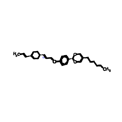 CCCCCC[C@H]1CO[C@H](c2ccc(OC/C=C/[C@H]3CC[C@H](CCC)CC3)cc2)OC1